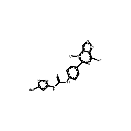 CCCc1nc(-c2ccc(NC(=O)Nc3cc(C(C)(C)C)n[nH]3)cc2)n(N)c2cnnc1-2